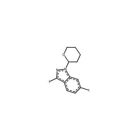 Ic1ccc2c(I)nn(C3CCCCO3)c2c1